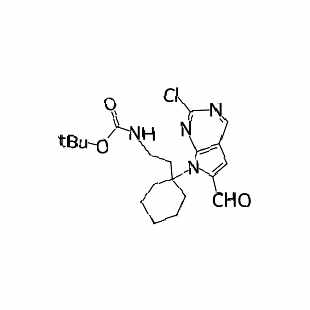 CC(C)(C)OC(=O)NCCC1(n2c(C=O)cc3cnc(Cl)nc32)CCCCC1